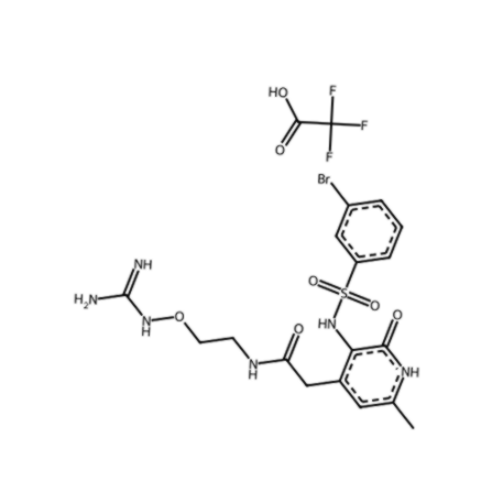 Cc1cc(CC(=O)NCCONC(=N)N)c(NS(=O)(=O)c2cccc(Br)c2)c(=O)[nH]1.O=C(O)C(F)(F)F